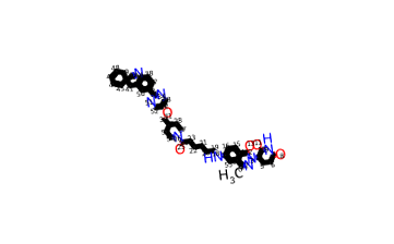 Cc1nn(C2CCC(=O)NC2=O)c(=O)c2ccc(NCCCCCC(=O)N3CCC(COc4cnc(-c5cccc(CC6(C#N)C=CC=CC6)c5)nc4)CC3)cc12